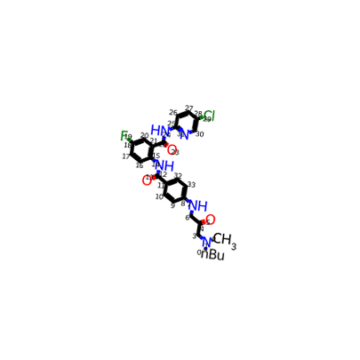 CCCCN(C)CC(=O)CNc1ccc(C(=O)Nc2ccc(F)cc2C(=O)Nc2ccc(Cl)cn2)cc1